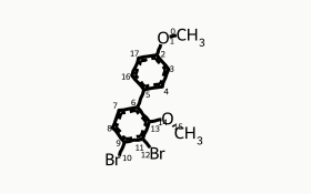 COc1ccc(-c2ccc(Br)c(Br)c2OC)cc1